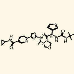 CC(C)(C)NC(=O)N[C@@H](C(=O)N1COC[C@H]1C(=O)Nc1nc(-c2ccc(C(=O)NC3CC3)cn2)cs1)c1ccsc1